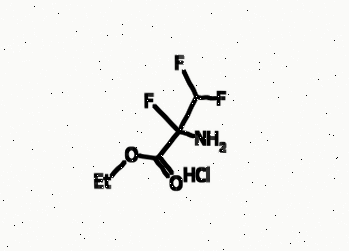 CCOC(=O)C(N)(F)C(F)F.Cl